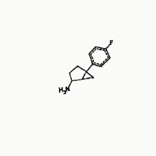 NC1CCC2(c3ccc(F)cc3)CC12